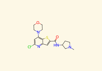 CN1CCC(NC(=O)c2cc3nc(Cl)cc(N4CCOCC4)c3s2)C1